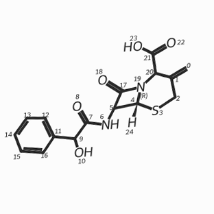 C=C1CS[C@@H]2C(NC(=O)C(O)c3ccccc3)C(=O)N2C1C(=O)O